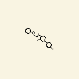 Fc1ccc(N2CCc3nc(COc4ccccc4)sc3C2)cc1